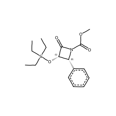 CC[Si](CC)(CC)O[C@@H]1C(=O)N(C(=O)OC)[C@@H]1c1ccccc1